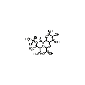 CCC(C)(CC)OC(C)C(CO)OC(OC1C(CO)OC(O)C(O)C1O)C(O)O